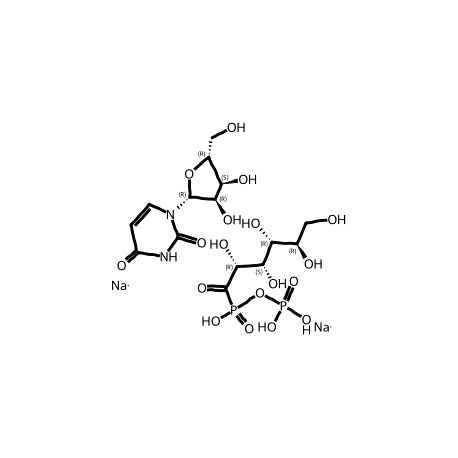 O=C([C@H](O)[C@@H](O)[C@H](O)[C@H](O)CO)P(=O)(O)OP(=O)(O)O.O=c1ccn([C@@H]2O[C@H](CO)[C@@H](O)[C@H]2O)c(=O)[nH]1.[Na].[Na]